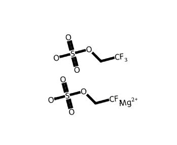 O=S(=O)([O-])OCC(F)(F)F.O=S(=O)([O-])OCC(F)(F)F.[Mg+2]